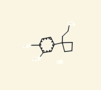 COc1ccc(C2(CCN)CCC2)cc1OC.Cl